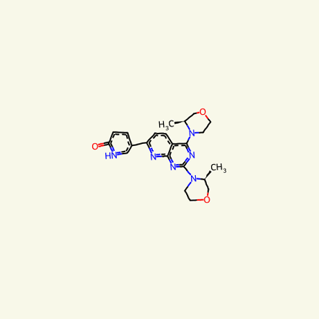 C[C@H]1COCCN1c1nc(N2CCOC[C@@H]2C)c2ccc(-c3ccc(=O)[nH]c3)nc2n1